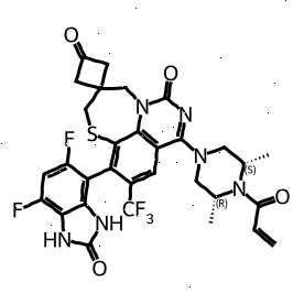 C=CC(=O)N1[C@H](C)CN(c2nc(=O)n3c4c(c(-c5c(F)cc(F)c6[nH]c(=O)[nH]c56)c(C(F)(F)F)cc24)SCC2(CC(=O)C2)C3)C[C@@H]1C